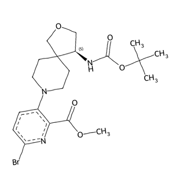 COC(=O)c1nc(Br)ccc1N1CCC2(CC1)COC[C@H]2NC(=O)OC(C)(C)C